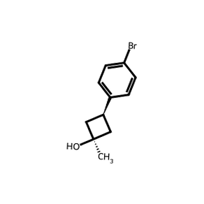 C[C@]1(O)C[C@@H](c2ccc(Br)cc2)C1